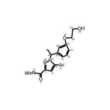 CNC(=O)c1cc(C(C)=O)n(C(C)c2cccc(OCCO)c2)n1